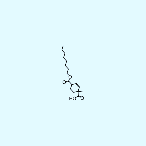 CCCCCCCCOC(=O)C1C=CC(C)(C(=O)O)CC1